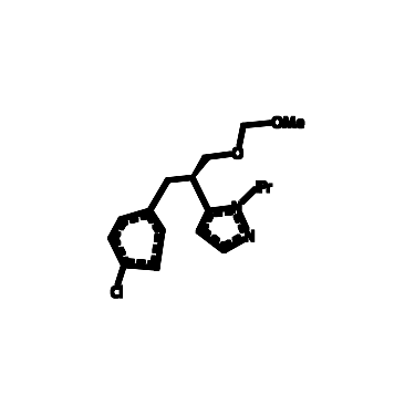 COCOC[C@H](Cc1ccc(Cl)cc1)c1ccnn1C(C)C